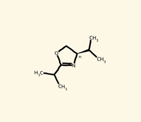 CC(C)C1=N[C@H](C(C)C)CO1